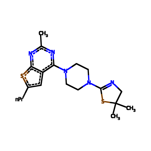 CCCc1cc2c(N3CCN(C4=NCC(C)(C)S4)CC3)nc(C)nc2s1